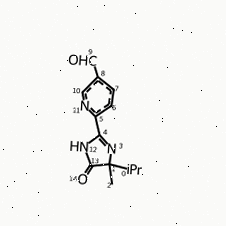 CC(C)C1(C)N=C(c2ccc(C=O)cn2)NC1=O